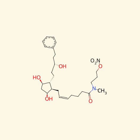 CN(CCCO[N+](=O)[O-])C(=O)CCC/C=C\C[C@@H]1[C@@H](CC[C@@H](O)CCc2ccccc2)[C@H](O)C[C@@H]1O